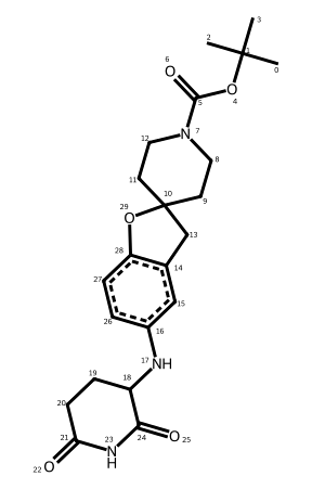 CC(C)(C)OC(=O)N1CCC2(CC1)Cc1cc(NC3CCC(=O)NC3=O)ccc1O2